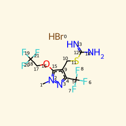 Br.Cn1nc(C(F)(F)F)c(CSC(=N)N)c1OCC(F)(F)F